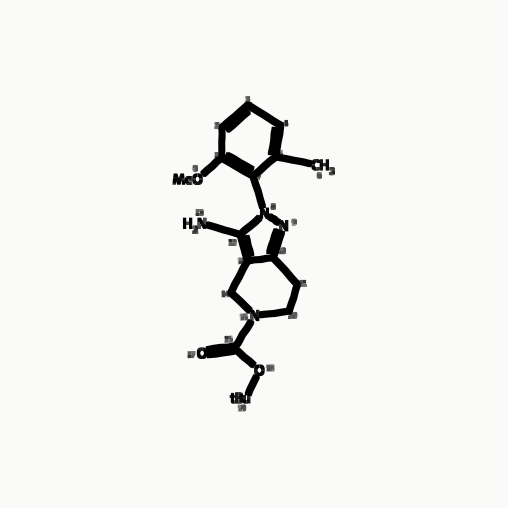 COc1cccc(C)c1-n1nc2c(c1N)CN(C(=O)OC(C)(C)C)CC2